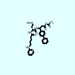 COCC[C@H](NC(=O)CCCCNc1ccccn1)C(=O)NC(CC(=O)OC(=O)C(F)(F)F)c1ccc(-c2ccccc2)cc1